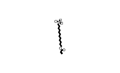 C=CC(=O)OCCCCCCCCCCCC[Si](Cl)(Cl)Cl